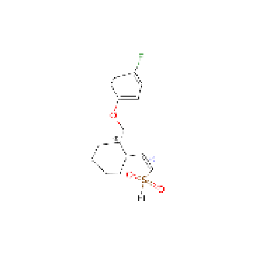 CCS(=O)(=O)/C=C\C1CCCC[C@@H]1COC1=CC=C(F)CC1